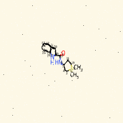 CS1(C)CCC(NC(=O)c2cc3ccccc3[nH]2)CC1